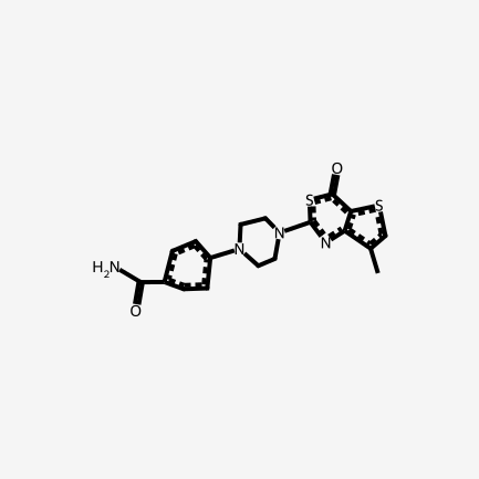 Cc1csc2c(=O)sc(N3CCN(c4ccc(C(N)=O)cc4)CC3)nc12